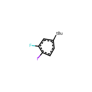 CC(C)(C)c1ccc(I)c(F)c1